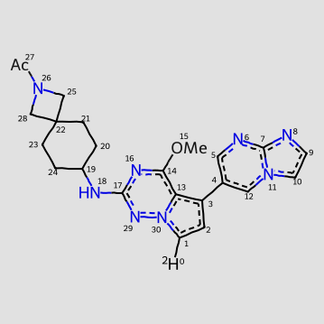 [2H]c1cc(-c2cnc3nccn3c2)c2c(OC)nc(NC3CCC4(CC3)CN(C(C)=O)C4)nn12